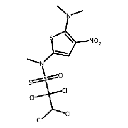 CN(C)c1sc(N(C)S(=O)(=S)C(Cl)(Cl)C(Cl)Cl)cc1[N+](=O)[O-]